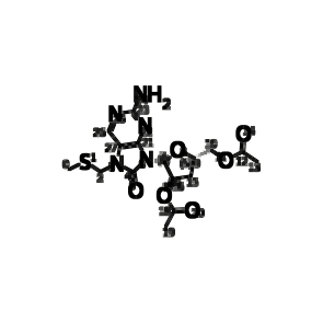 CSCn1c(=O)n([C@@H]2O[C@H](COC(C)=O)C[C@H]2OC(C)=O)c2nc(N)ncc21